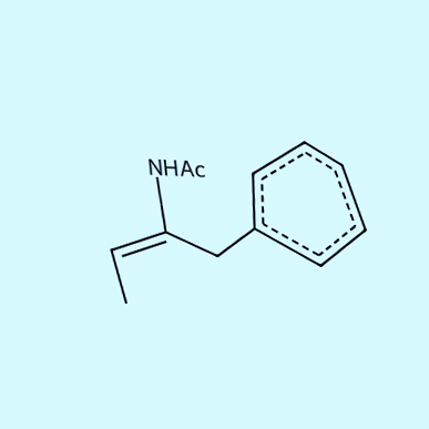 C/C=C(\Cc1ccccc1)NC(C)=O